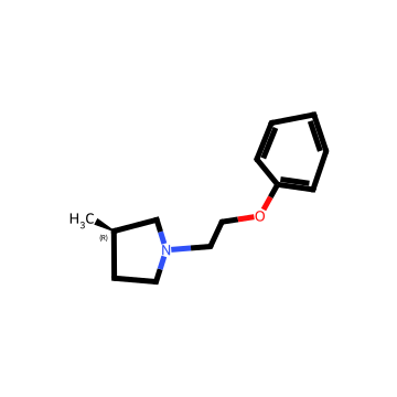 C[C@@H]1CCN(CCOc2ccccc2)C1